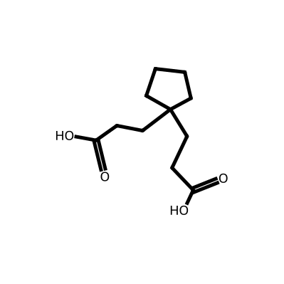 O=C(O)CCC1(CCC(=O)O)CCCC1